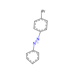 CC(C)c1ccc(/N=N/c2ccccc2)cc1